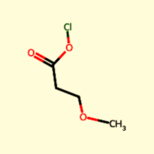 COCCC(=O)OCl